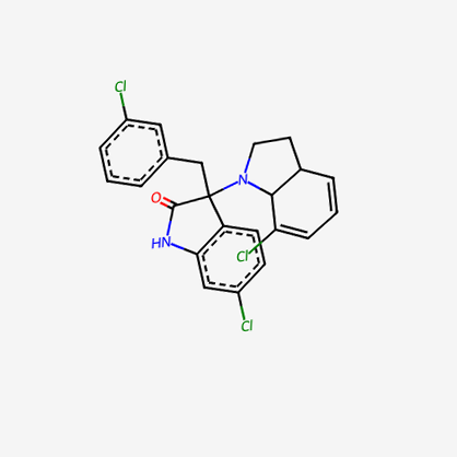 O=C1Nc2cc(Cl)ccc2C1(Cc1cccc(Cl)c1)N1CCC2C=CC=C(Cl)C21